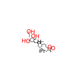 C=C1/C(=C\C=C2/CCC[C@]3(C)[C@@H]([C@H](C)C[C@H]4OC(=O)C(=C)[C@H]4CC(C)C)CC[C@@H]23)C[C@@H](O)[C@H](CCCO)[C@@H]1O